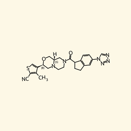 Cc1c([C@@H]2CN3CCN(C(=O)C4CCc5cc(-n6cnnn6)ccc54)C[C@H]3CO2)csc1C#N